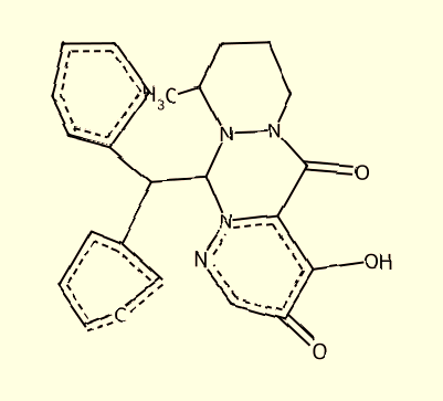 CC1CCCN2C(=O)c3c(O)c(=O)cnn3C(C(c3ccccc3)c3ccccc3)N12